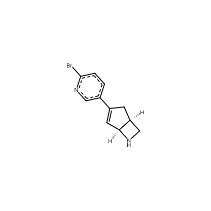 Brc1ccc(C2=C[C@@H]3NC[C@@H]3C2)cn1